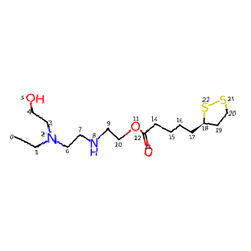 CCN(CCO)CCNCCOC(=O)CCCC[C@@H]1CCSS1